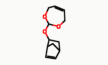 C1=CCOC(OC2CC3C=CC2C3)OC1